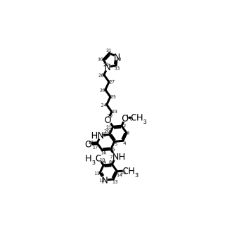 COc1ccc2c(Nc3c(C)cncc3C)cc(=O)[nH]c2c1OCCCCCCn1ccnc1